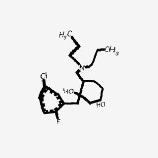 CCCN(CCC)CC1CCCCC1(O)Cc1cc(Cl)ccc1F.Cl